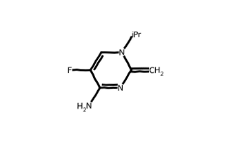 C=C1N=C(N)C(F)=CN1C(C)C